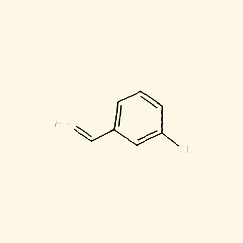 C=Cc1cc[c]c(Cl)c1